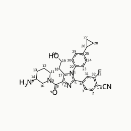 N#Cc1ccc(-c2nc(C(=O)N3CCC[C@H](N)C3)c(CCO)n2-c2ccc(C3CC3)cc2)cc1F